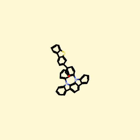 c1ccc(-n2c3ccccc3c3ccc4c5ccccc5n(-c5ccc(-c6ccc7c(c6)sc6ccccc67)cc5)c4c32)cc1